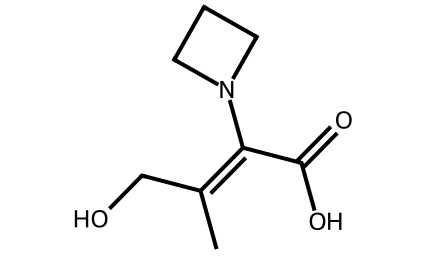 CC(CO)=C(C(=O)O)N1CCC1